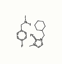 Cn1ccn(CC2CCCCC2)[c]1=[Pt].Fc1ccc(CN(I)I)cc1